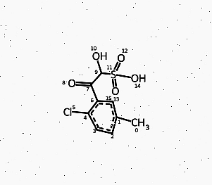 Cc1ccc(Cl)c(C(=O)C(O)S(=O)(=O)O)c1